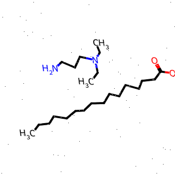 CCCCCCCCCCCCCCCC(=O)O.CCN(CC)CCCN